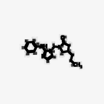 CCCC1CC(=O)N(Cn2ccnc2Nc2ccccc2)C1